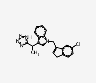 CC(c1nnn[nH]1)c1cn(CC2=CCc3ccc(Cl)cc32)c2ccccc12